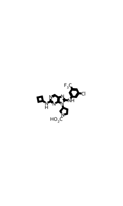 O=C(O)N1CCC(n2c(Nc3cc(Cl)cc(C(F)(F)F)c3)nc3cnc(NC4CCC4)nc32)C1